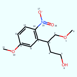 COCC(CCO)c1cc(OC)ccc1[N+](=O)[O-]